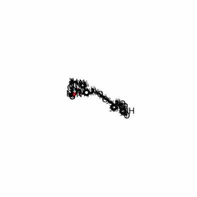 CC(C)c1nn(C2CCC(CN(C)CCOCCOCCCc3cccc4c3n(C)c(=O)n4C3CCC(=O)NC3=O)CC2c2ccnc(NCC3CC3)c2)cc1NC(=O)c1cocn1